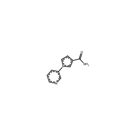 NC(=O)c1ccn(-c2cccnc2)c1